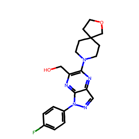 OCc1nc2c(cnn2-c2ccc(F)cc2)nc1N1CCC2(CCOC2)CC1